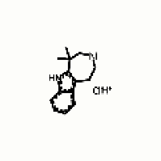 CC1(C)CNCCc2c1[nH]c1ccccc21.[Cl-].[H+]